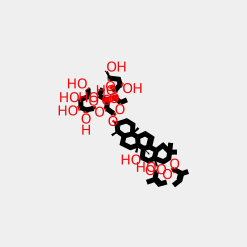 C/C=C(/C)C(=O)O[C@H]1[C@H](OC(=O)/C(C)=C\C)[C@]2(CO)C[C@H](O)[C@]3(C)C(=CCC4[C@@]5(C)CC[C@H](OC(OC(C)C(=O)O)C(OC6OC(CO)C(O)C(O)C6O)C(OC6O[C@@H](CO)CC6O)C(C)O)[C@H](C)C5CC[C@]43C)C2CC1(C)C